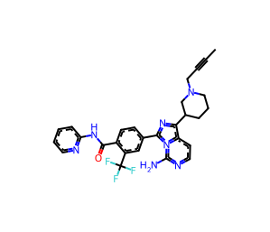 CC#CCN1CCCC(c2nc(-c3ccc(C(=O)Nc4ccccn4)c(C(F)(F)F)c3)n3c(N)nccc23)C1